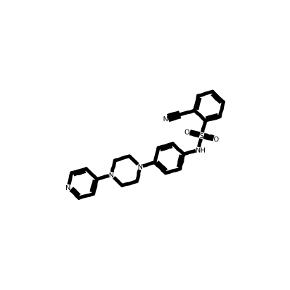 N#Cc1ccccc1S(=O)(=O)Nc1ccc(N2CCN(c3ccncc3)CC2)cc1